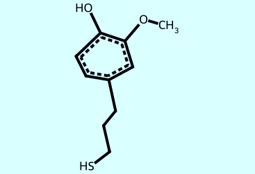 COc1cc(CCCS)ccc1O